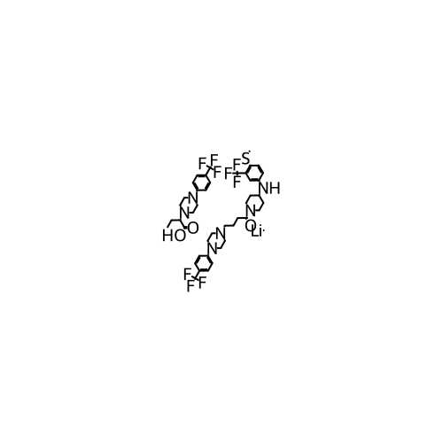 CCC(C(=O)O)N1CCN(c2ccc(C(F)(F)F)cc2)CC1.CSc1ccc(NC2CCN(C(=O)CCCN3CCN(c4ccc(C(F)(F)F)cc4)CC3)CC2)cc1C(F)(F)F.[Li]